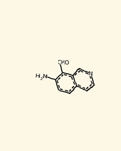 Nc1ccc2ccncc2c1C=O